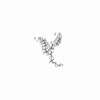 CC(C)OCCC(C)(C)OCC(COC(F)(F)C(F)OC(F)(F)C(F)(F)C(F)(F)OC(F)(F)F)OC(F)(F)C(F)OC(F)(F)C(F)(F)C(F)(F)OC(F)(F)F